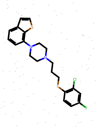 Fc1ccc(SCCCN2CCN(c3cccc4ccsc34)CC2)c(Cl)c1